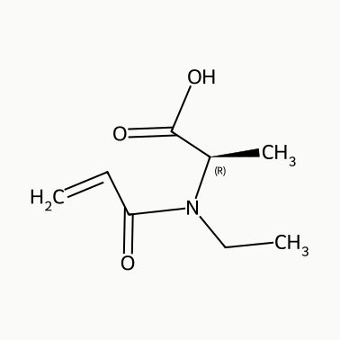 C=CC(=O)N(CC)[C@H](C)C(=O)O